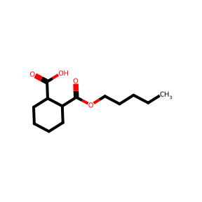 CCCCCOC(=O)C1CCCCC1C(=O)O